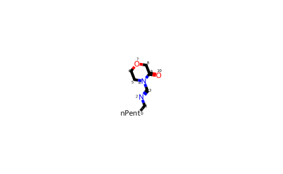 CCCCCCN=CN1CCOCC1=O